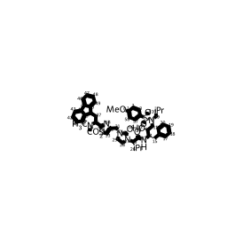 COc1ccc(S(=O)(=O)N(CC(C)C)C[C@@H](O)[C@H](Cc2ccccc2)NC(=O)[C@H](C(C)C)N2CCN(Cc3csc(C(CC4c5ccccc5-c5ccccc54)N(C)C(=O)O)n3)C2=O)cc1